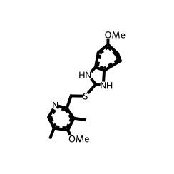 COc1ccc2c(c1)NC(SCc1ncc(C)c(OC)c1C)N2